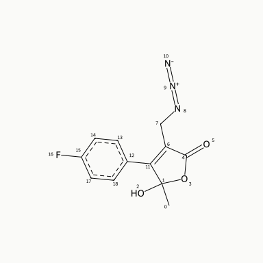 CC1(O)OC(=O)C(CN=[N+]=[N-])=C1c1ccc(F)cc1